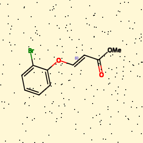 COC(=O)/C=C/Oc1ccccc1Br